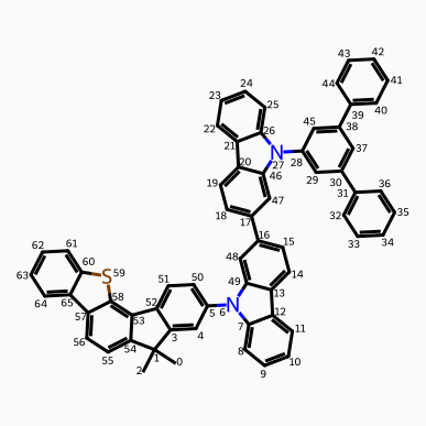 CC1(C)c2cc(-n3c4ccccc4c4ccc(-c5ccc6c7ccccc7n(-c7cc(-c8ccccc8)cc(-c8ccccc8)c7)c6c5)cc43)ccc2-c2c1ccc1c2sc2ccccc21